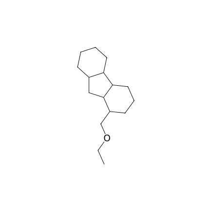 CCOCC1CCCC2C3CCCCC3CC12